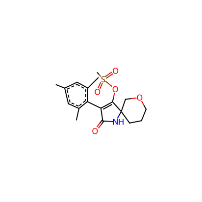 Cc1cc(C)c(C2=C(OS(C)(=O)=O)C3(CCCOC3)NC2=O)c(C)c1